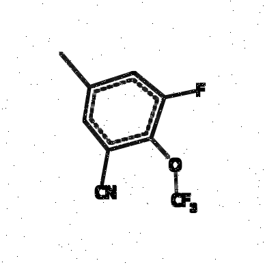 Cc1cc(F)c(OC(F)(F)F)c(C#N)c1